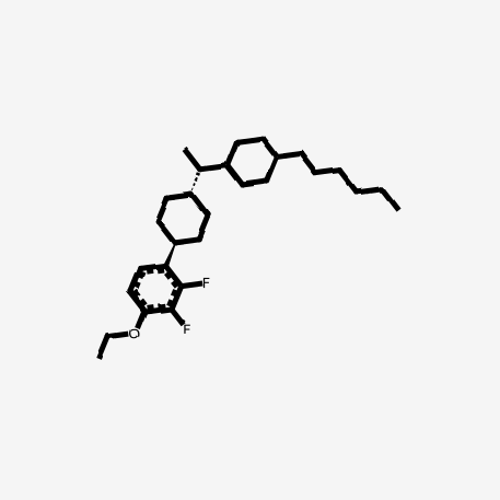 CCCCCCC1CCC(C(C)[C@H]2CC[C@H](c3ccc(OCC)c(F)c3F)CC2)CC1